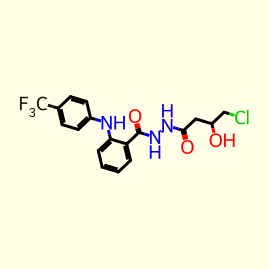 O=C(CC(O)CCl)NNC(=O)c1ccccc1Nc1ccc(C(F)(F)F)cc1